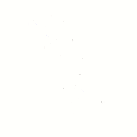 COc1ccccc1NC(=O)COc1cccc(C2(C)CCSC(N)=N2)c1